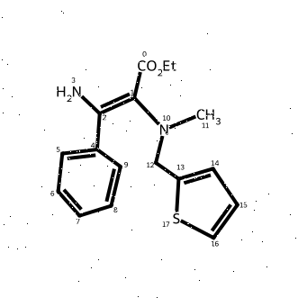 CCOC(=O)C(=C(N)c1ccccc1)N(C)Cc1cccs1